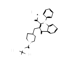 COC(=O)c1c(CC2CCN(C(=O)OC(C)(C)C)CC2)c(=O)c2ccccc2n1-c1ccccc1